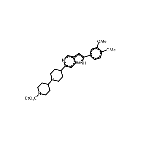 CCOC(=O)N1CCC(N2CCC(c3cc4[nH]c(-c5ccc(OC)c(OC)c5)cc4cn3)CC2)CC1